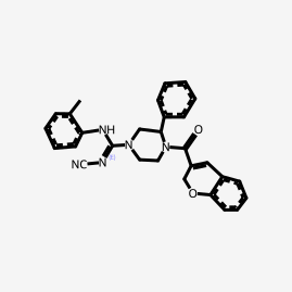 Cc1ccccc1N/C(=N\C#N)N1CCN(C(=O)C2=Cc3ccccc3OC2)C(c2ccccc2)C1